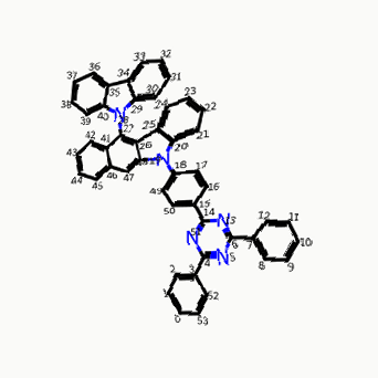 c1ccc(-c2nc(-c3ccccc3)nc(-c3ccc(-n4c5ccccc5c5c(-n6c7ccccc7c7ccccc76)c6ccccc6cc54)cc3)n2)cc1